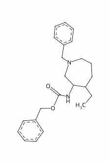 CCC1CCCN(Cc2ccccc2)CC1NC(=O)OCc1ccccc1